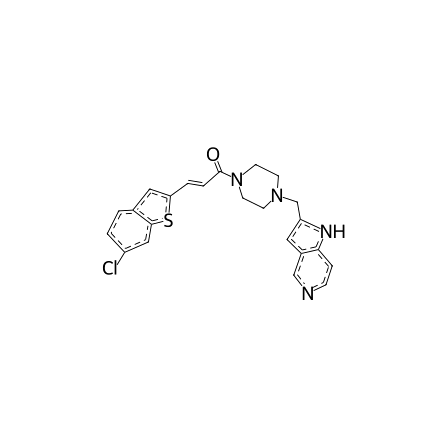 O=C(C=Cc1cc2ccc(Cl)cc2s1)N1CCN(Cc2cc3cnccc3[nH]2)CC1